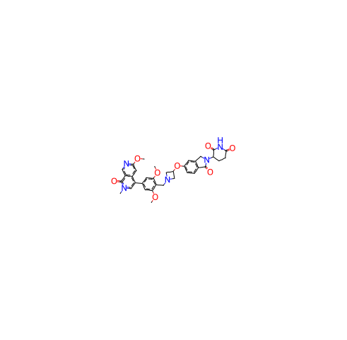 COc1cc2c(-c3cc(OC)c(CN4CC(Oc5ccc6c(c5)CN(C5CCC(=O)NC5=O)C6=O)C4)c(OC)c3)cn(C)c(=O)c2cn1